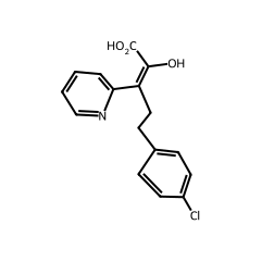 O=C(O)/C(O)=C(/CCc1ccc(Cl)cc1)c1ccccn1